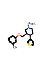 CCCCCN1CCC(c2ccsc2)C(COc2cccc(C#N)c2)C1